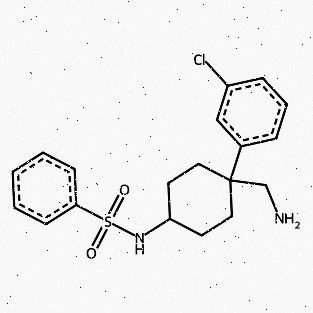 NCC1(c2cccc(Cl)c2)CCC(NS(=O)(=O)c2ccccc2)CC1